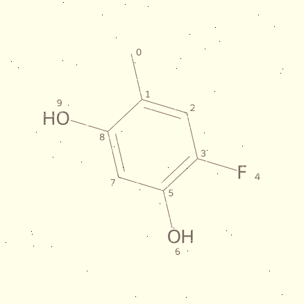 Cc1cc(F)c(O)cc1O